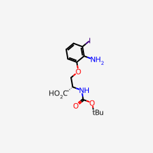 CC(C)(C)OC(=O)N[C@@H](COc1cccc(I)c1N)C(=O)O